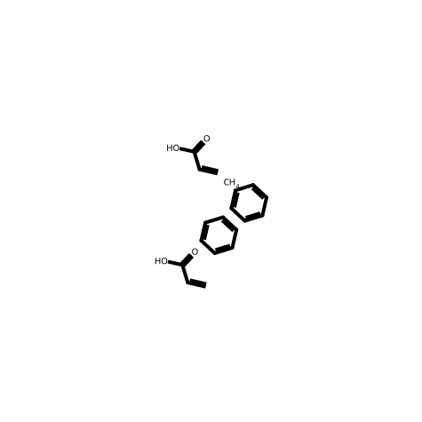 C.C=CC(=O)O.C=CC(=O)O.c1ccccc1.c1ccccc1